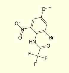 COc1cc(Br)c(NC(=O)C(F)(F)F)c([N+](=O)[O-])c1